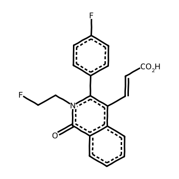 O=C(O)C=Cc1c(-c2ccc(F)cc2)n(CCF)c(=O)c2ccccc12